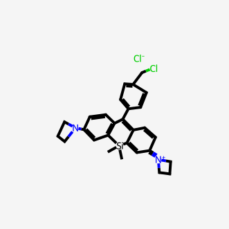 C[Si]1(C)C2=CC(=[N+]3CCC3)C=CC2=C(c2ccc(CCl)cc2)c2ccc(N3CCC3)cc21.[Cl-]